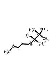 [CH2-][CH+]CCNC(C)(C)C(C)(C)C